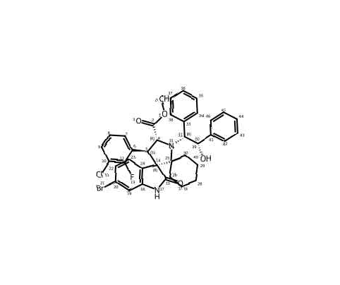 COC(=O)[C@H]1[C@H](c2cccc(Cl)c2F)[C@]2(C(=O)Nc3cc(Br)ccc32)C2(CCCCC2)N1[C@H](c1ccccc1)[C@@H](O)c1ccccc1